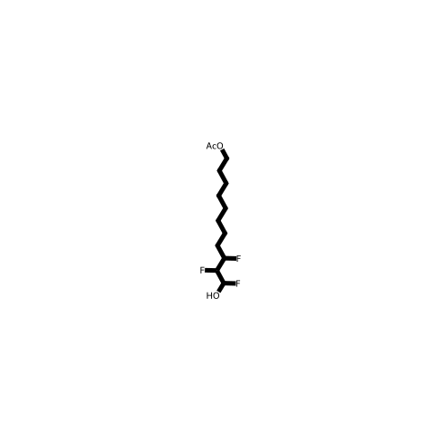 CC(=O)OCCCCCCCCC(F)C(F)C(O)F